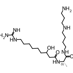 C[C@H](NC(=O)CC(O)CCCCCCNC(=N)N)C(=O)NCCCCNCCCN